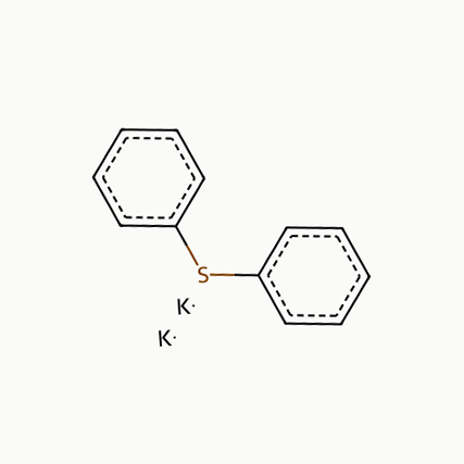 [K].[K].c1ccc(Sc2ccccc2)cc1